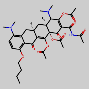 CCCCOc1ccc(N(C)C)c2c1C(=O)C1=C(OC(C)=O)[C@]3(OC(C)=O)C(=O)C(C(=O)NC(C)=O)=C(OC(C)=O)C(N(C)C)[C@@H]3C[C@@H]1C2